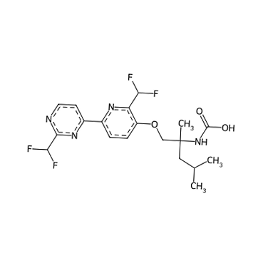 CC(C)CC(C)(COc1ccc(-c2ccnc(C(F)F)n2)nc1C(F)F)NC(=O)O